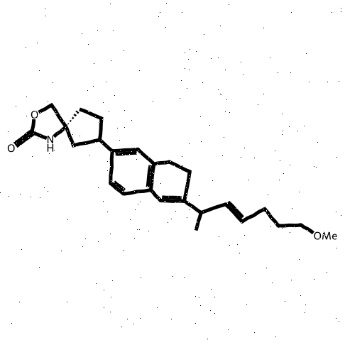 COCCC/C=C/C(C)C1=Cc2ccc(C3CC[C@]4(COC(=O)N4)C3)cc2CC1